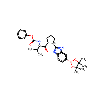 CC(C)[C@H](NC(=O)Oc1ccccc1)C(=O)C1CCC[C@H]1c1nc2ccc(B3OC(C)(C)C(C)(C)O3)cc2[nH]1